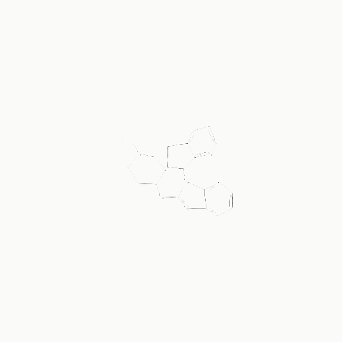 CCOC(=O)N1CCC(Nc2nc3ccccc3n2C2CCc3cccnc32)CC1